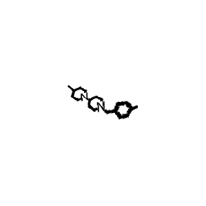 Cc1ccc(CN2CCC(N3CCC(C)CC3)CC2)cc1